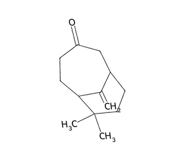 C=C1C2CCC(C)(C)C1CCC(=O)C2